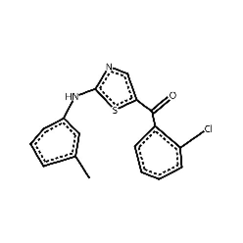 Cc1cccc(Nc2ncc(C(=O)c3ccccc3Cl)s2)c1